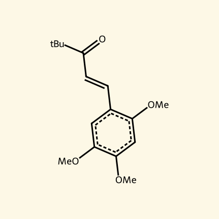 COc1cc(OC)c(OC)cc1C=CC(=O)C(C)(C)C